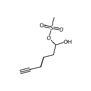 C#CCCCC(O)OS(C)(=O)=O